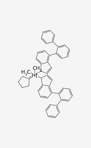 [CH3][Hf]([CH3])(=[C]1CCCC1)([CH]1C=Cc2c(-c3ccccc3-c3ccccc3)cccc21)[CH]1C=Cc2c(-c3ccccc3-c3ccccc3)cccc21